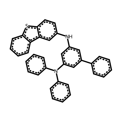 c1ccc(-c2cc(Nc3ccc4sc5ccccc5c4c3)cc(N(c3ccccc3)c3ccccc3)c2)cc1